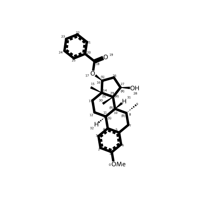 COc1ccc2c(c1)C[C@@H](C)[C@@H]1[C@@H]2CC[C@]2(C)[C@@H](OC(=O)c3ccccc3)C[C@@H](O)[C@]12C